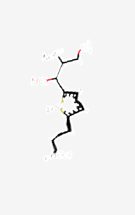 CCCCCCCCCCc1ccc(C(O)C(CO)NC)s1